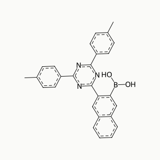 Cc1ccc(-c2nc(-c3ccc(C)cc3)nc(-c3cc4ccccc4cc3B(O)O)n2)cc1